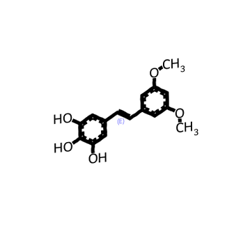 COc1cc(/C=C/c2cc(O)c(O)c(O)c2)cc(OC)c1